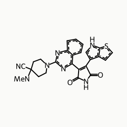 CNC1(C#N)CCN(c2nc(C3=C(c4c[nH]c5sccc45)C(=O)NC3=O)c3ccccc3n2)CC1